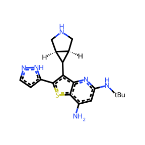 CC(C)(C)Nc1cc(N)c2sc(-c3ccn[nH]3)c(C3[C@H]4CNC[C@@H]34)c2n1